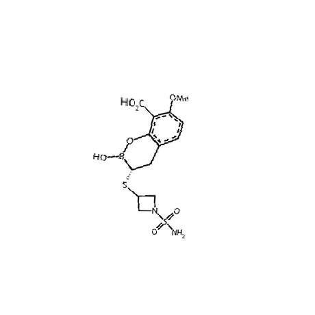 COc1ccc2c(c1C(=O)O)OB(O)[C@@H](SC1CN(S(N)(=O)=O)C1)C2